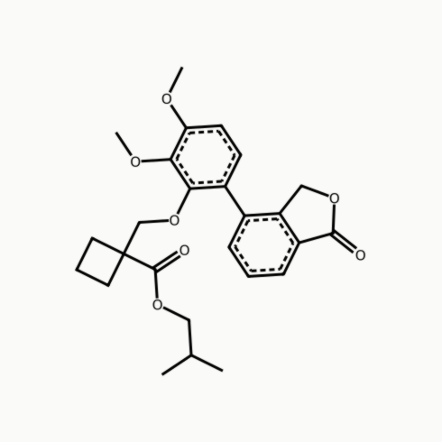 COc1ccc(-c2cccc3c2COC3=O)c(OCC2(C(=O)OCC(C)C)CCC2)c1OC